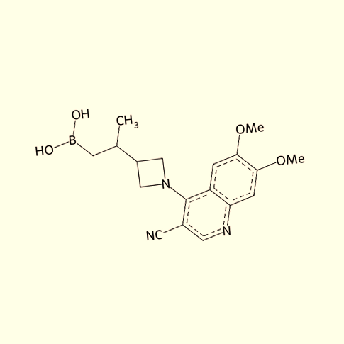 COc1cc2ncc(C#N)c(N3CC(C(C)CB(O)O)C3)c2cc1OC